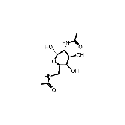 CC(=O)NC[C@H]1O[C@H](O)[C@H](NC(C)=O)[C@@H](O)[C@H]1O